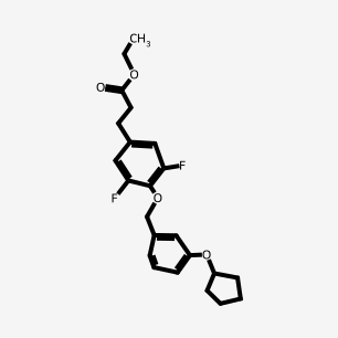 CCOC(=O)CCc1cc(F)c(OCc2cccc(OC3CCCC3)c2)c(F)c1